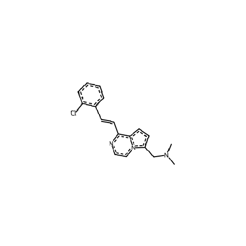 CN(C)Cc1ccc2c(C=Cc3ccccc3Cl)nccn12